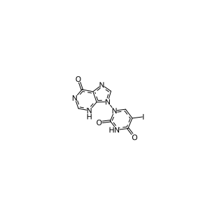 O=c1[nH]c(=O)n(-n2cnc3c(=O)nc[nH]c32)cc1I